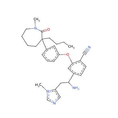 CCCCC1(c2cccc(Oc3cc(C(N)Cc4cncn4C)ccc3C#N)c2)CCCCN(C)C1=O